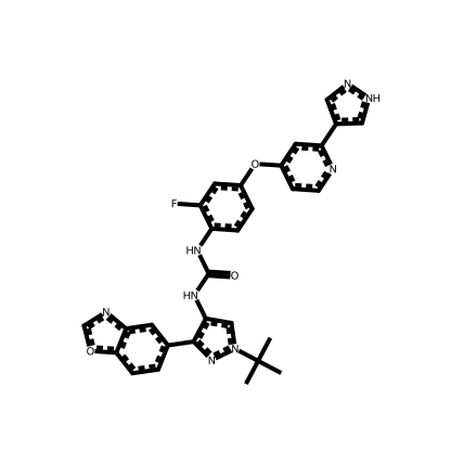 CC(C)(C)n1cc(NC(=O)Nc2ccc(Oc3ccnc(-c4cn[nH]c4)c3)cc2F)c(-c2ccc3ocnc3c2)n1